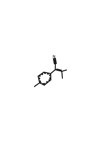 CC(C)=C(C#N)c1ccc(C)cc1